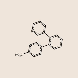 O=C(O)c1ccc(-c2ccccc2-c2cccnc2)cc1